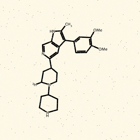 [2H]C1CC(c2cc3c(-c4ccc(OC)c(OC)c4)c(C)[nH]c3cn2)CCN1C1CCNCC1